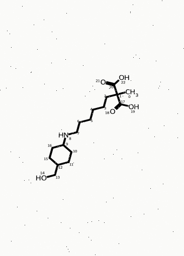 CC(CCCCCCNC1CCC(CO)CC1)(C(=O)O)C(=O)O